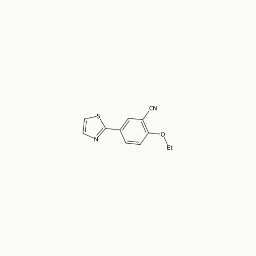 CCOc1ccc(-c2nccs2)cc1C#N